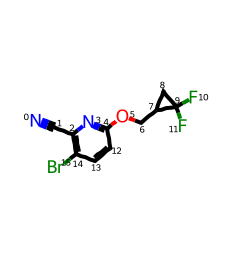 N#Cc1nc(OCC2CC2(F)F)ccc1Br